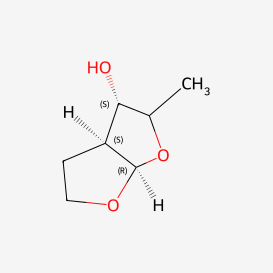 CC1O[C@H]2OCC[C@H]2[C@@H]1O